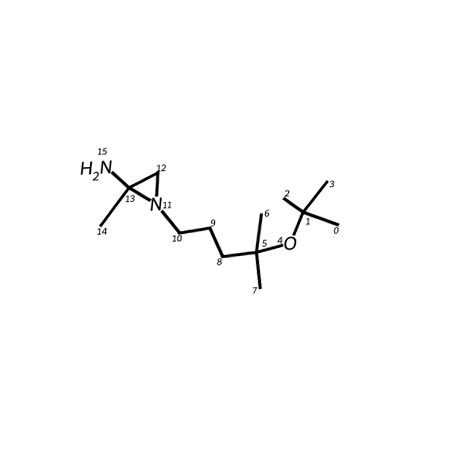 CC(C)(C)OC(C)(C)CCCN1CC1(C)N